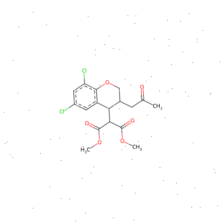 COC(=O)C(C(=O)OC)C1c2cc(Cl)cc(Cl)c2OCC1CC(C)=O